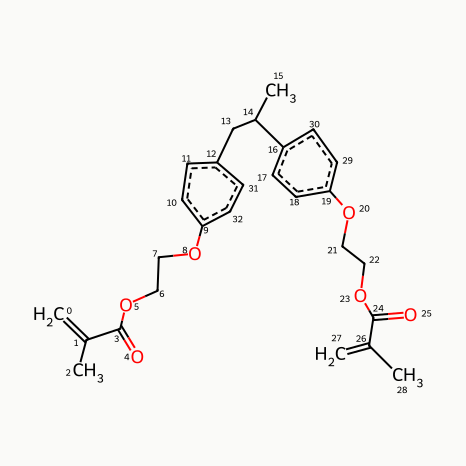 C=C(C)C(=O)OCCOc1ccc(CC(C)c2ccc(OCCOC(=O)C(=C)C)cc2)cc1